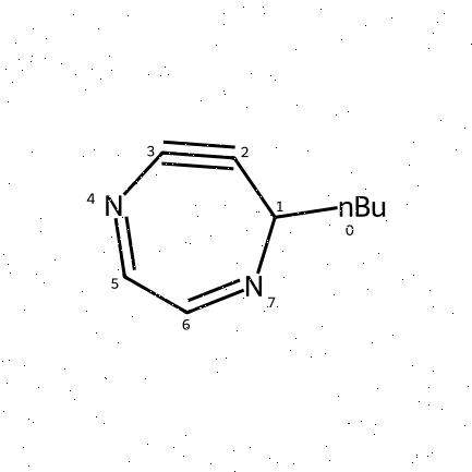 CCCCC1C#CN=CC=N1